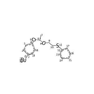 CCC(C)c1ccc(OC(C)OCCSc2ccccc2)cc1